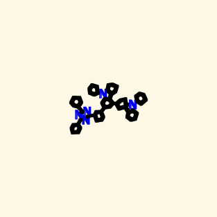 c1ccc(-c2nc(-c3ccccc3)nc(-c3cccc(-c4cc(-c5ccc6c(c5)c5ccccc5n6-c5ccccc5)c5c6ccccc6n(-c6ccccc6)c5c4)c3)n2)cc1